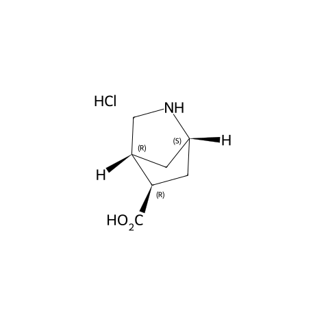 Cl.O=C(O)[C@@H]1C[C@@H]2C[C@H]1CN2